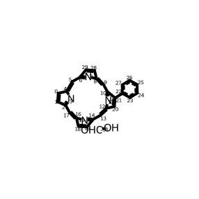 C1=CC2=NC1=CC1=NC(=CC3=NC(=CC4=NC(=C2)C=C4)C=C3c2ccccc2)C=C1.O=CO